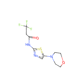 O=C(CC(F)(F)F)Nc1ncc(N2CCOCC2)s1